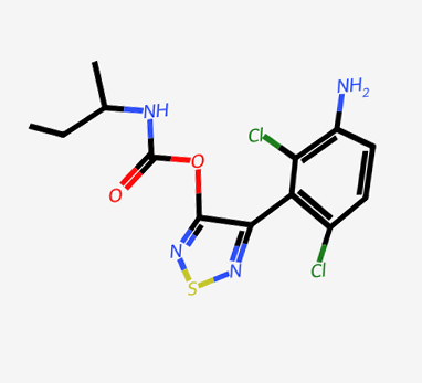 CCC(C)NC(=O)Oc1nsnc1-c1c(Cl)ccc(N)c1Cl